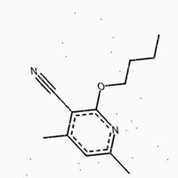 CCCCOc1nc(C)cc(C)c1C#N